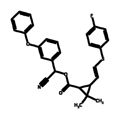 CC1(C)C(/C=C/Sc2ccc(F)cc2)C1C(=O)OC(C#N)c1cccc(Oc2ccccc2)c1